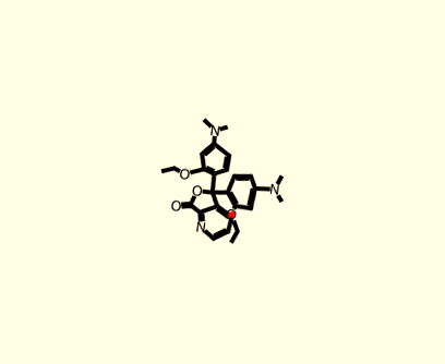 CCOc1cc(N(C)C)ccc1C1(c2ccc(N(C)C)cc2OCC)OC(=O)c2ncccc21